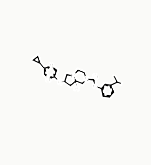 CC(C)c1cccc(OC(=O)N2CCN3C[C@H](Oc4cnc(C5CC5)cn4)C[C@H]3C2)c1